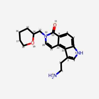 NCCc1c[nH]c2ccc3c(=O)n(CC4CCCCO4)ccc3c12